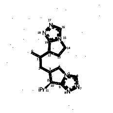 CC(CC1Cn2cnnc2[C@H]1C(C)C)C1CCn2cnnc21